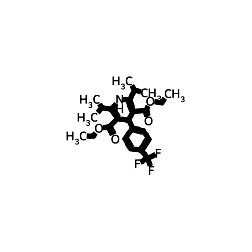 CCOC(=O)C1=C(C(C)C)NC(C(C)C)=C(C(=O)OCC)C1c1ccc(C(F)(F)F)cc1